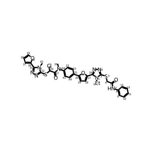 CCn1c(SCC(=O)Nc2ccccc2)nnc1-c1ccc(-c2ccc(N(C)C(=O)C(Cl)Sc3nnc(-c4ccco4)n3C)cc2)o1